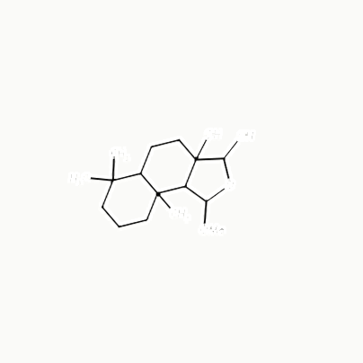 COC1OC(O)C2(O)CCC3C(C)(C)CCCC3(C)C12